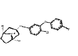 Fc1ccc(Oc2cc(O[C@@H]3C[C@H]4CC[C@@H](C3)N4)ccc2Cl)cc1